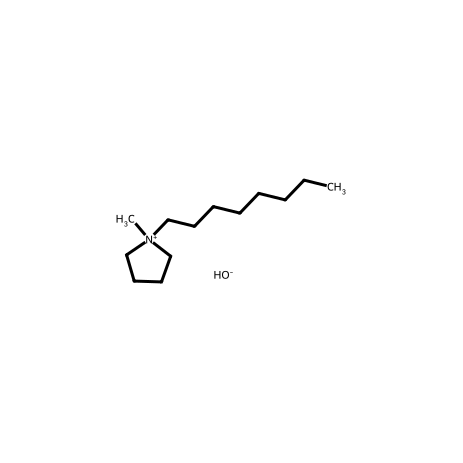 CCCCCCCC[N+]1(C)CCCC1.[OH-]